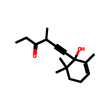 CCC(=O)C(C)C#CC1(O)C(C)=CCCC1(C)C